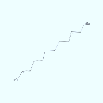 [CH2]CCC=CCCCCCCC=CCCCC